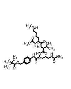 CNCCCC[C@H](NC(C)=O)C(=O)NC(C(=O)N[C@@H](CCCNC(N)=O)C(=O)Nc1ccc(COC(=O)C(C)(C)C)cc1)C(C)C